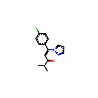 CC(C)C(=O)C=C(c1ccc(Cl)cc1)n1cccn1